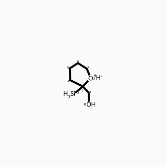 OCC1([SiH3])CCCCO1.[H+]